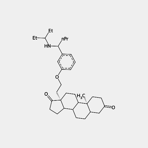 CCCC(NC(CC)CC)c1cccc(OCC[C@]23CCC4C(CCC5CC(=O)CC[C@@]54C)C2CCC3=O)c1